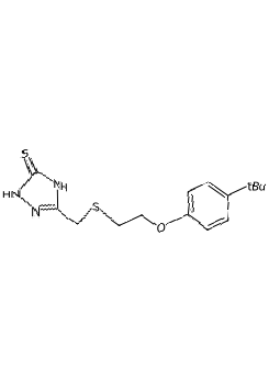 CC(C)(C)c1ccc(OCCSCc2n[nH]c(=S)[nH]2)cc1